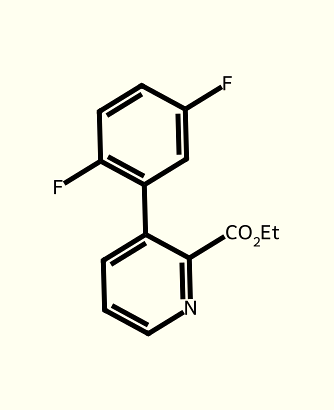 CCOC(=O)c1ncccc1-c1cc(F)ccc1F